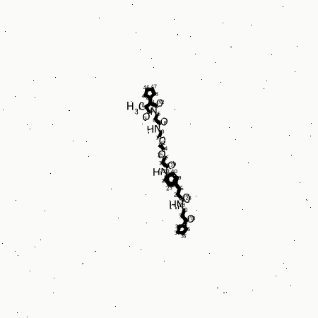 CC1C(=O)N(CCC(=O)NCCOCCOCCC(=O)Nc2ccc(CCC(=O)NCCC(=O)C3CCCC3)cc2)C(=O)C1C1CCCC1